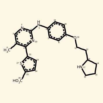 Cc1cnc(Nc2ccc(OCCC3CCCN3)cc2)nc1-c1ccc(C(=O)O)s1